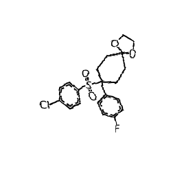 O=S(=O)(c1ccc(Cl)cc1)C1(c2ccc(F)cc2)CCC2(CC1)OCCO2